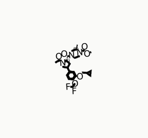 COC(=O)N1CCN(C(=O)[C@@H]2CC(c3ccc(OC(F)F)c(OCC4CC4)c3)CN2C(C)=O)C[C@H]1C